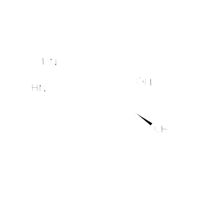 C[C@H](O)C1=CC=C2NNCC21